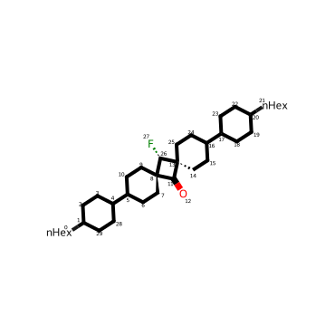 CCCCCCC1CCC(C2CC[C@]3(CC2)C(=O)[C@@]2(CCC(C4CCC(CCCCCC)CC4)CC2)[C@H]3F)CC1